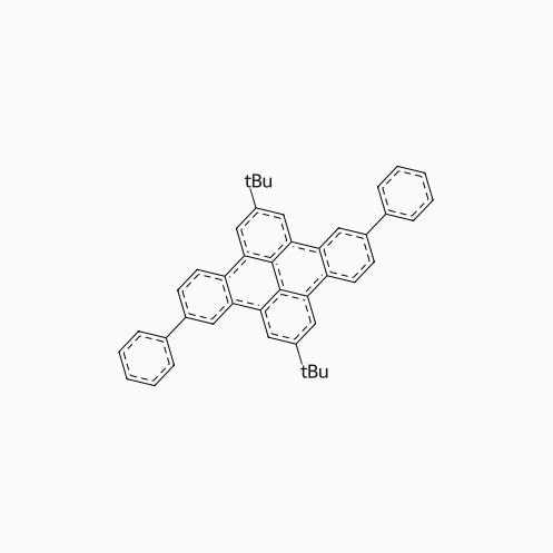 CC(C)(C)c1cc2c3ccc(-c4ccccc4)cc3c3cc(C(C)(C)C)cc4c5ccc(-c6ccccc6)cc5c(c1)c2c43